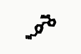 COc1ccccc1[CH]c1ccc(CCO)cc1